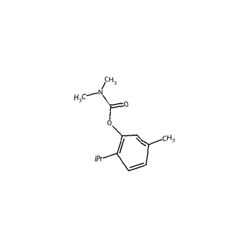 Cc1ccc(C(C)C)c(OC(=O)N(C)C)c1